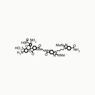 CNc1nc2cc(C(N)=O)ccc2n1CCCCn1c(NC)nc2cc(C(=O)NCCNC(=O)c3ccc4c(c3)C(=O)OC43c4ccc(N)c(S(=O)O)c4Oc4c3ccc(N)c4S(=O)(=O)O)ccc21